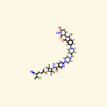 C=C(Cl)/C(C#N)=C\C=C(/C)O[C@H]1C(C)(C)[C@H](NC(=O)c2cnc(N3CCN(CC4CCN(c5ccc6c(c5)C(=O)N(C5CCC(=O)NC5=O)C6=O)CC4)CC3)nc2)C1(C)C